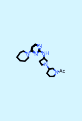 CC(=O)N1CCCC(N2CCC(Nc3nccc(N4CCCCCC4)n3)C2)C1